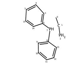 CCP.c1ccc(Pc2ccccc2)cc1